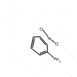 Pc1ccccc1.[Cl][Ni][Cl]